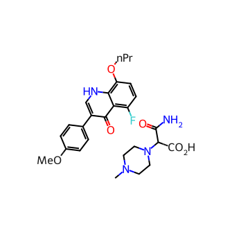 CCCOc1ccc(F)c2c(=O)c(-c3ccc(OC)cc3)c[nH]c12.CN1CCN(C(C(N)=O)C(=O)O)CC1